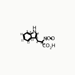 O=C=NC(Cc1c[nH]c2ccccc12)C(=O)O